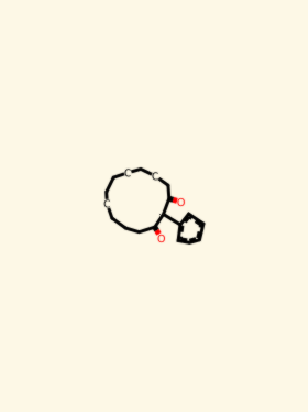 O=C1CCCCCCCCCCC(=O)[C]1c1ccccc1